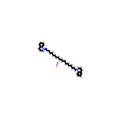 [I-].[I-].c1ccc2c(c1)ccc[n+]2CCCCCCCCCCCCCCCCCCCC[n+]1cccc2ccccc21